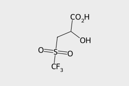 O=C(O)C(O)CS(=O)(=O)C(F)(F)F